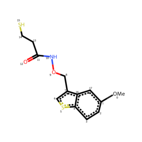 COc1ccc2scc(CONC(=O)CCS)c2c1